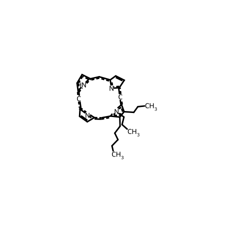 CCCCCc1c(CCC)c2cc3nc(cc4ccc(cc5nc(cc1n2CCC)C=C5)[nH]4)C=C3